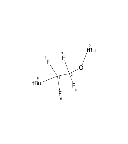 CC(C)(C)OC(F)(F)C(F)(F)C(C)(C)C